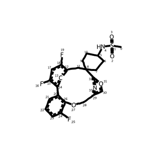 CS(=O)(=O)NC1CCC2(CC1)Cc1cc(c(F)cc1F)-c1cccc(F)c1OCc1coc2n1